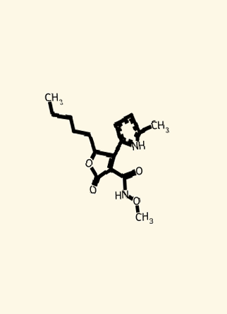 CCCCCC1OC(=O)C(C(=O)NOC)=C1c1ccc(C)[nH]1